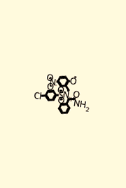 COc1ccc([N+](=O)[O-])cc1CN([C@@H](C(N)=O)c1ccccc1)S(=O)(=O)c1ccc(Cl)cc1